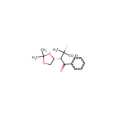 CCOC(=O)C(C)(F)C(C(=O)c1ccccc1)[C@@H]1COC(C)(C)O1